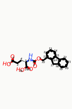 O=C(O)CC[C@H](NC(=O)OCc1cccc2c1Cc1ccccc1-2)C(=O)O